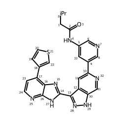 CC(C)CC(=O)Nc1cncc(-c2cc3c(-c4nc5c(-c6ccsc6)ccnc5[nH]4)n[nH]c3cn2)c1